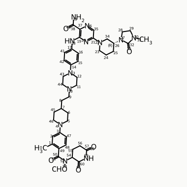 Cc1cc(N2CCC(CCN3CCN(c4ccc(Nc5nc(N6CCC[C@@H](N7CCN(C)C7=O)C6)cnc5C(N)=O)cc4)CC3)CC2)ccc1C(=O)N(C=O)C1CCC(=O)NC1=O